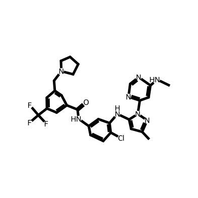 CNc1cc(-n2nc(C)cc2Nc2cc(NC(=O)c3cc(CN4CCCC4)cc(C(F)(F)F)c3)ccc2Cl)ncn1